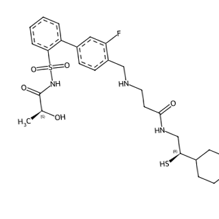 C[C@H](O)C(=O)NS(=O)(=O)c1ccccc1-c1ccc(CNCCC(=O)NC[C@H](S)C2CCCCC2)c(F)c1